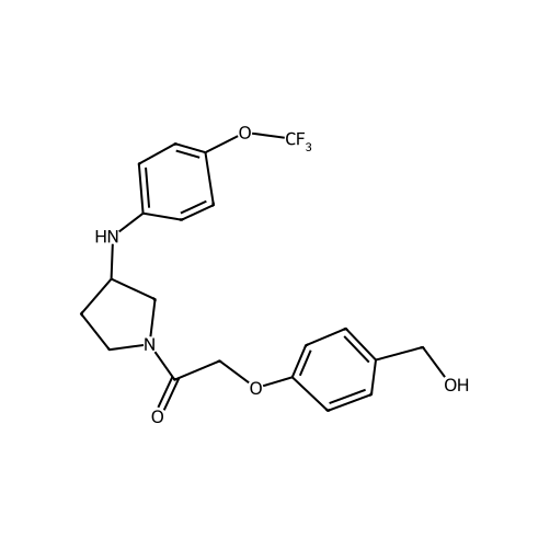 O=C(COc1ccc(CO)cc1)N1CCC(Nc2ccc(OC(F)(F)F)cc2)C1